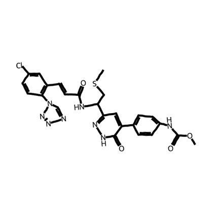 COC(=O)Nc1ccc(-c2cc(C(CSC)NC(=O)C=Cc3cc(Cl)ccc3-n3cnnn3)n[nH]c2=O)cc1